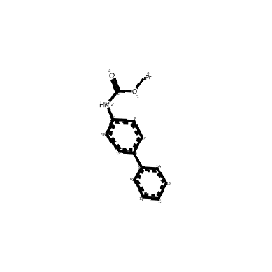 CC(C)OC(=O)Nc1ccc(-c2ccccc2)cc1